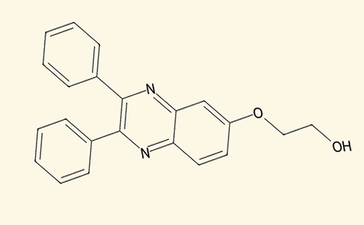 OCCOc1ccc2nc(-c3ccccc3)c(-c3ccccc3)nc2c1